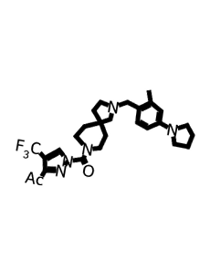 CC(=O)c1nn(C(=O)N2CCC3(CCN(Cc4ccc(N5CCCC5)cc4C)C3)CC2)cc1C(F)(F)F